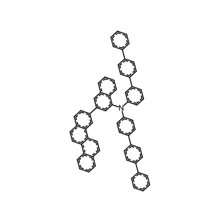 c1ccc(-c2ccc(-c3ccc(N(c4cccc(-c5ccc(-c6ccccc6)cc5)c4)c4cc(-c5ccc6ccc7c8ccccc8ccc7c6c5)cc5ccccc45)cc3)cc2)cc1